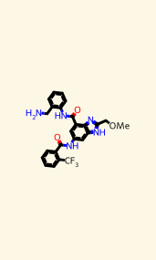 COCc1nc2c(C(=O)Nc3ccccc3CN)cc(NC(=O)c3ccccc3C(F)(F)F)cc2[nH]1